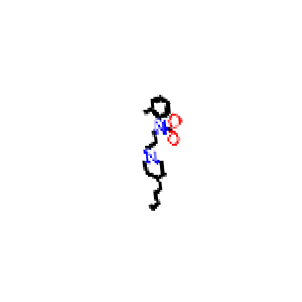 CCCCC1CCN(CCCn2c(=O)oc3cccc(C)c32)CC1